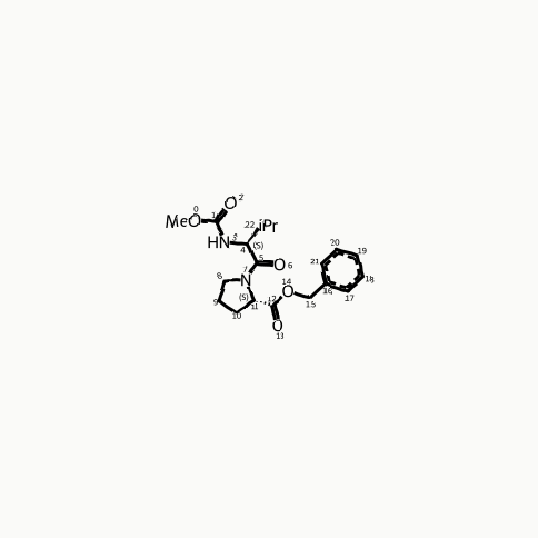 COC(=O)N[C@H](C(=O)N1CCC[C@H]1C(=O)OCc1ccccc1)C(C)C